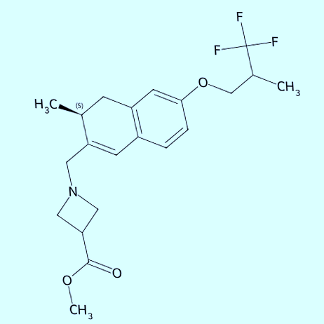 COC(=O)C1CN(CC2=Cc3ccc(OCC(C)C(F)(F)F)cc3C[C@@H]2C)C1